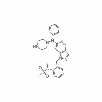 CN(c1ncccc1Cn1ncc2cnc(N(c3ccccc3)N3CCNCC3)nc21)S(C)(=O)=O